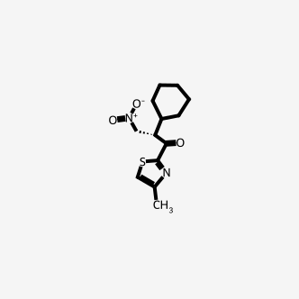 Cc1csc(C(=O)[C@H](C[N+](=O)[O-])C2CCCCC2)n1